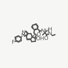 CCNC(=O)C(C)(C)NC(=O)c1ccccc1CC[C@]1(O)CCC2=Cc3c(cnn3-c3ccc(F)cc3)C[C@@]21C